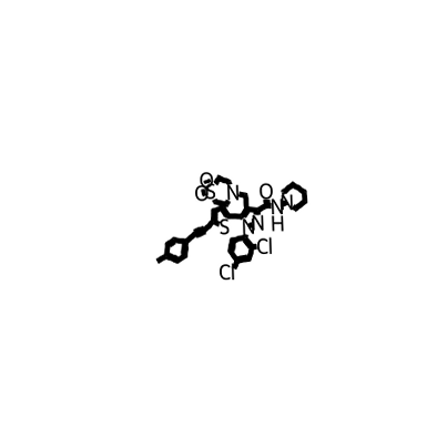 Cc1ccc(C#Cc2ccc(-c3c(CN4CCS(=O)(=O)CC4)c(C(=O)NN4CCCCC4)nn3-c3ccc(Cl)cc3Cl)s2)cc1